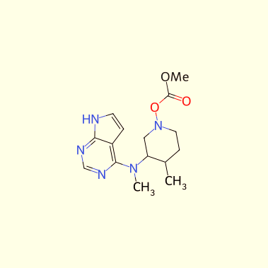 COC(=O)ON1CCC(C)C(N(C)c2ncnc3[nH]ccc23)C1